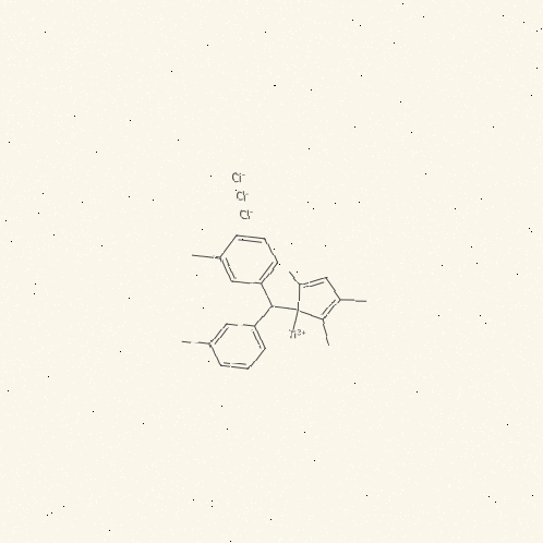 CC1=CC(C)=C(C)[C]1([Ti+3])C(c1cccc(C)c1)c1cccc(C)c1.[Cl-].[Cl-].[Cl-]